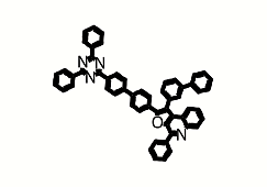 c1ccc(-c2cccc(-c3c(-c4ccc(-c5ccc(-c6nc(-c7ccccc7)nc(-c7ccccc7)n6)cc5)cc4)oc4c(-c5ccccc5)nc5ccccc5c34)c2)cc1